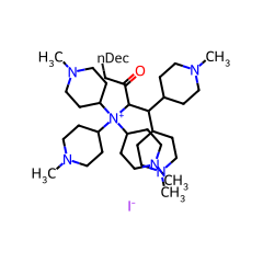 CCCCCCCCCCCC(=O)C(C(C1CCN(C)CC1)C1CCN(C)CC1)[N+](C1CCN(C)CC1)(C1CCN(C)CC1)C1CCN(C)CC1.[I-]